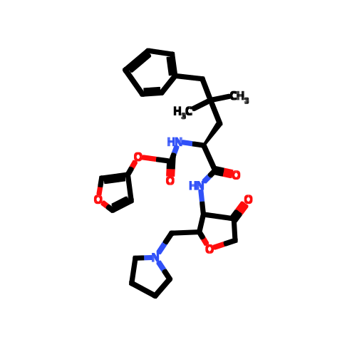 CC(C)(Cc1ccccc1)C[C@H](NC(=O)Oc1ccoc1)C(=O)NC1C(=O)COC1CN1CCCC1